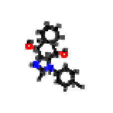 Cc1ccc(-n2c(C)nc3c2C(=O)c2ccccc2C3=O)cc1